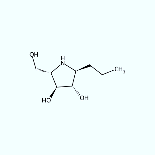 CCC[C@@H]1N[C@@H](CO)[C@H](O)[C@H]1O